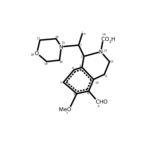 [CH2]C(C1c2ccc(OC)c(C=O)c2CCN1C(=O)O)N1CCOCC1